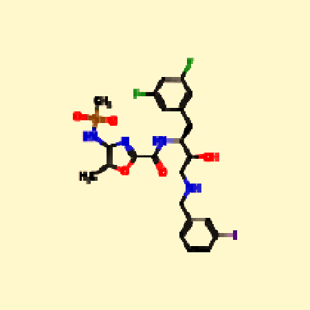 Cc1oc(C(=O)N[C@@H](Cc2cc(F)cc(F)c2)[C@@H](O)CNCc2cccc(I)c2)nc1NS(C)(=O)=O